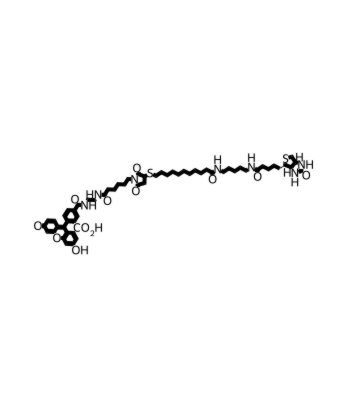 O=C(CCCCCCCCCCSC1CC(=O)N(CCCCCC(=O)NCCNC(=O)c2ccc(-c3c4ccc(=O)cc-4oc4cc(O)ccc34)c(C(=O)O)c2)C1=O)NCCCCCNC(=O)CCCC[C@@H]1SC[C@@H]2NC(=O)N[C@@H]21